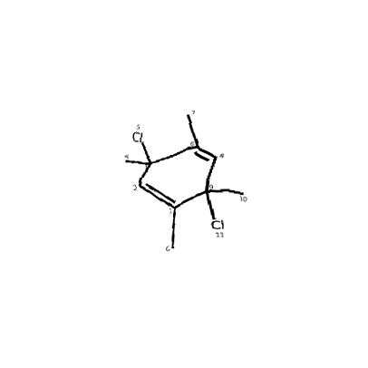 CC1=CC(C)(Cl)C(C)=CC1(C)Cl